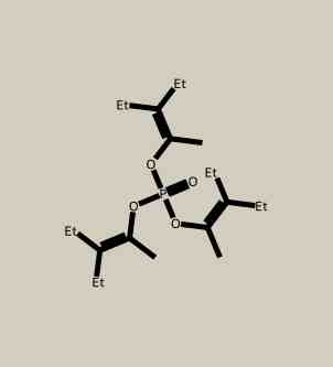 CCC(CC)=C(C)OP(=O)(OC(C)=C(CC)CC)OC(C)=C(CC)CC